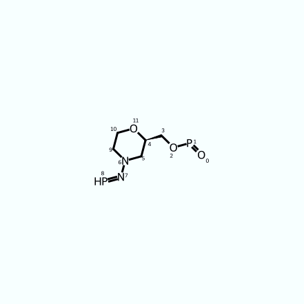 O=POC[C@H]1CN(N=P)CCO1